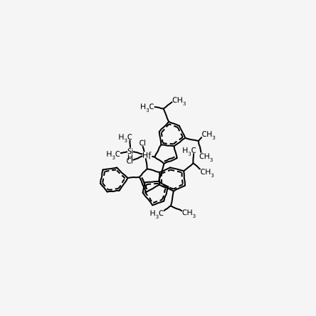 CC(C)c1cc(C(C)C)c2c(c1)[CH]([Hf]([Cl])([Cl])([CH]1C(c3ccccc3)=Cc3c(C(C)C)cc(C(C)C)cc31)[SiH](C)C)C(c1ccccc1)=C2